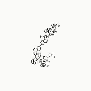 C=C(/C=C\C=C/C)[C@@H](NC(=O)OC)C(=O)N1CC2(CC1c1nc3c([nH]1)-c1ccc(-c4ccc5c(ccc6nc([C@@H]7CCCN7C(O)[C@@H](NC(=O)OC)C(C)C)[nH]c65)c4)cc1CC3)OCCO2